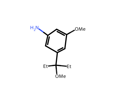 CCC(CC)(OC)c1cc(N)cc(OC)c1